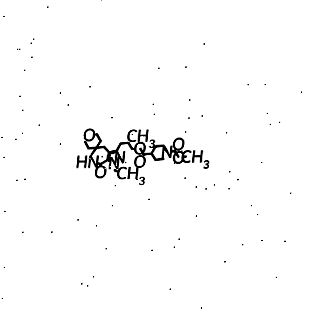 CCn1nc(CC(C)COC(=O)C2CCN(C(=O)OC)CC2)c2c1C(=O)NCC1(CCOCC1)C2